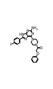 Nc1nc(N2CCN(C(=O)COc3ccccc3)CC2)c2nc(-c3ccc(F)cc3)[nH]c2n1